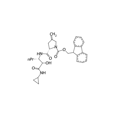 C=C1C[C@@H](C(=O)N[C@@H](CCC)C(O)C(=O)NC2CC2)N(C(=O)OCC2c3ccccc3-c3ccccc32)C1